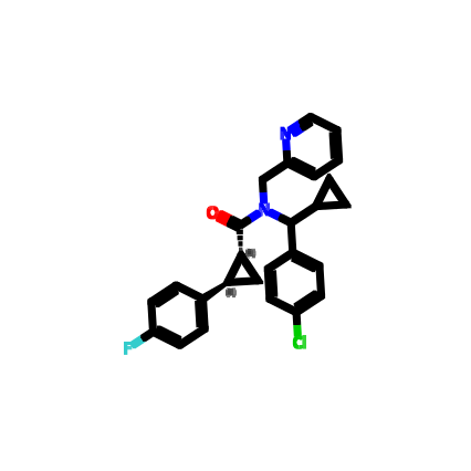 O=C([C@@H]1C[C@H]1c1ccc(F)cc1)N(Cc1ccccn1)C(c1ccc(Cl)cc1)C1CC1